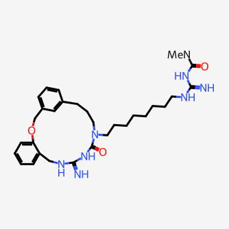 CNC(=O)NC(=N)NCCCCCCCCN1CCCc2cccc(c2)COc2ccccc2CNC(=N)NC1=O